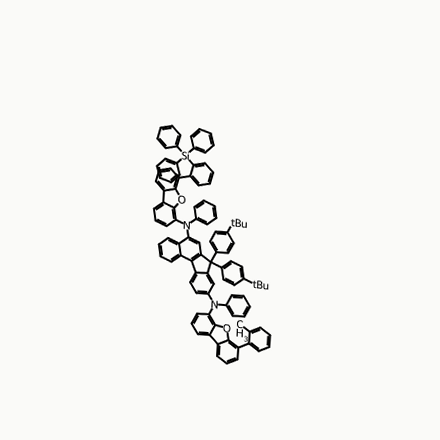 Cc1ccccc1-c1cccc2c1oc1c(N(c3ccccc3)c3ccc4c(c3)C(c3ccc(C(C)(C)C)cc3)(c3ccc(C(C)(C)C)cc3)c3cc(N(c5ccccc5)c5cccc6c5oc5c(-c7ccccc7[Si](c7ccccc7)(c7ccccc7)c7ccccc7)cccc56)c5ccccc5c3-4)cccc12